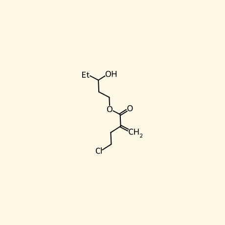 C=C(CCCl)C(=O)OCCC(O)CC